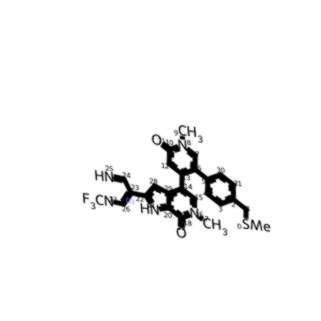 CSCc1ccc(-c2cn(C)c(=O)cc2-c2cn(C)c(=O)c3[nH]c(/C(C=N)=C/NC(F)(F)F)cc23)cc1